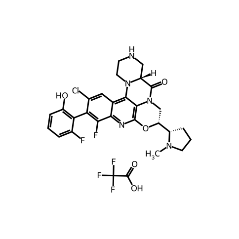 CN1CCC[C@H]1[C@H]1CN2C(=O)[C@H]3CNCCN3c3c2c(nc2c(F)c(-c4c(O)cccc4F)c(Cl)cc32)O1.O=C(O)C(F)(F)F